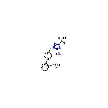 CCCCc1nc(C(F)(F)CC)nn1Cc1ccc(-c2ccccc2C(=O)O)cc1